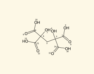 O=C(O)C(O)(CC(O)(C(=O)O)C(=O)O)C(=O)O